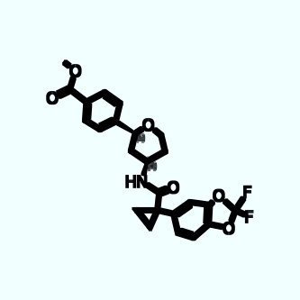 COC(=O)c1ccc([C@@H]2C[C@H](NC(=O)C3(c4ccc5c(c4)OC(F)(F)O5)CC3)CCO2)cc1